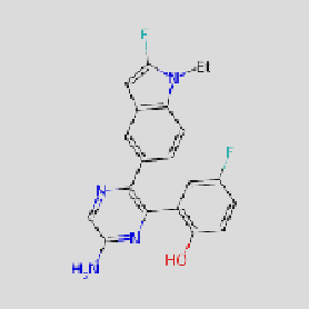 CCn1c(F)cc2cc(-c3ncc(N)nc3-c3cc(F)ccc3O)ccc21